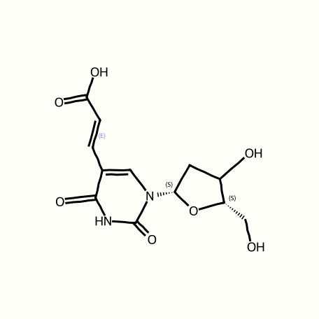 O=C(O)/C=C/c1cn([C@@H]2CC(O)[C@H](CO)O2)c(=O)[nH]c1=O